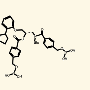 CC(C)(C)N(C[C@@H](COc1ccccc1C1CCCC1)OC(=O)c1ccc(CON(O)O)cc1)C(=O)c1ccc(CON(O)O)cc1